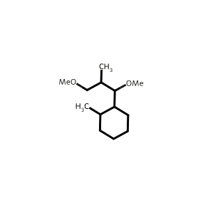 COCC(C)C(OC)C1CCCCC1C